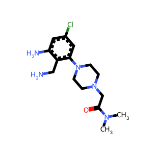 CN(C)C(=O)CN1CCN(c2cc(Cl)cc(N)c2CN)CC1